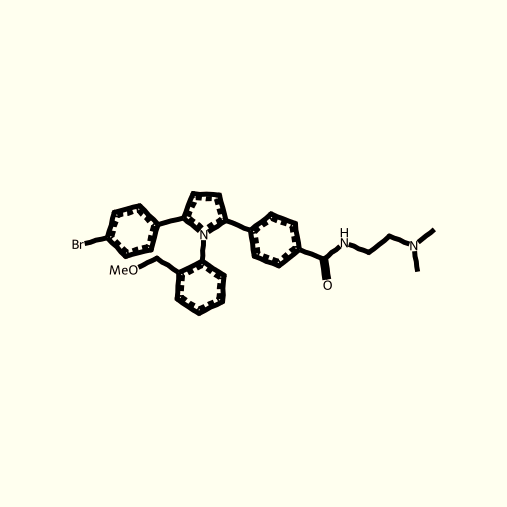 COCc1ccccc1-n1c(-c2ccc(Br)cc2)ccc1-c1ccc(C(=O)NCCN(C)C)cc1